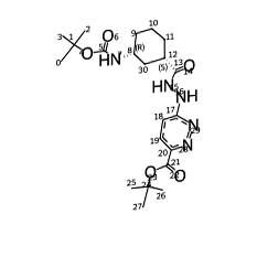 CC(C)(C)OC(=O)N[C@@H]1CCC[C@H](C(=O)NNc2ccc(C(=O)OC(C)(C)C)nn2)C1